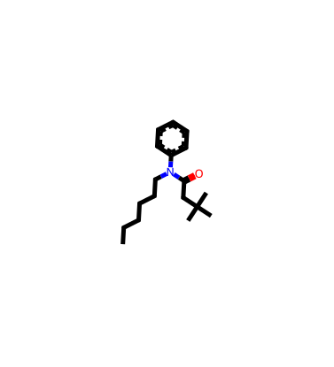 CCCCCCN(C(=O)CC(C)(C)C)c1ccccc1